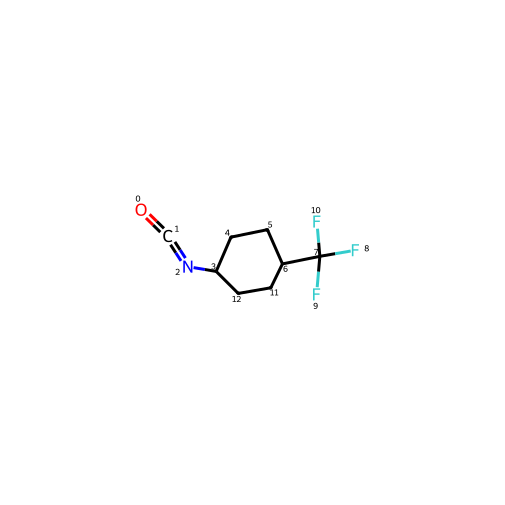 O=C=NC1CCC(C(F)(F)F)CC1